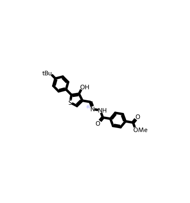 COC(=O)c1ccc(C(=O)N/N=C/c2csc(-c3ccc(C(C)(C)C)cc3)c2O)cc1